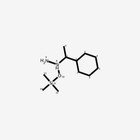 CC(C1CCCCC1)[SiH](N)O[Si](C)(C)C